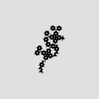 CC(C)CC(C)c1ccc(COc2ccc(C3(c4ccc(C(C)(C)C)cc4)c4ccc(N(c5ccccc5)c5ccccc5)cc4-c4cc(N(c5ccccc5)c5cccc(-c6ccc7c(c6)c6ccccc6n7-c6ccc7c(c6)-c6cc(-n8c9ccccc9c9ccccc98)ccc6C7(c6ccccc6)c6ccc(OCc7ccc(C(C)CC(C)C)cc7)cc6)c5)ccc43)cc2)cc1